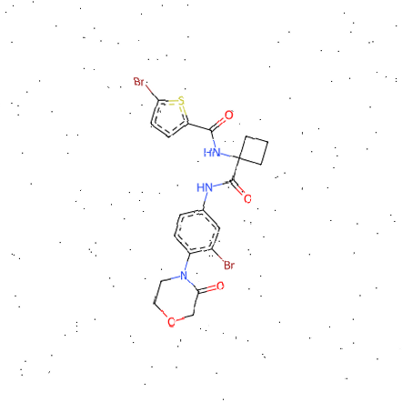 O=C(NC1(C(=O)Nc2ccc(N3CCOCC3=O)c(Br)c2)CCC1)c1ccc(Br)s1